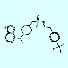 CN(c1ncnc2[nH]ccc12)C1CCC(CS(=O)(=O)NCCc2ccc(C(F)(F)F)cc2)CC1